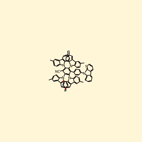 Cc1ccc2c(c1)c1cc(C)ccc1n2-c1c(C#N)c(-n2c3ccc(C)cc3c3cc(C)ccc32)c(-n2c3ccc(C)cc3c3cc(C)ccc32)c(-c2ccc(-n3c4ccccc4c4cccnc43)cc2)c1-n1c2ccc(C)cc2c2cc(C)ccc21